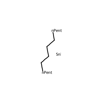 CCCCCCCCCCCCCC.[Sn]